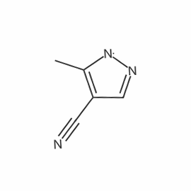 CC1=C(C#N)C=N[N]1